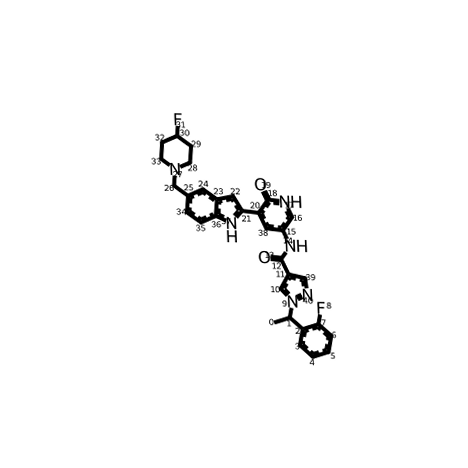 CC(c1ccccc1F)n1cc(C(=O)Nc2c[nH]c(=O)c(-c3cc4cc(CN5CCC(F)CC5)ccc4[nH]3)c2)cn1